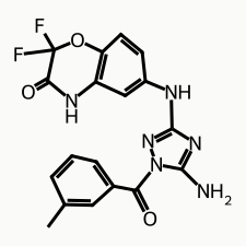 Cc1cccc(C(=O)n2nc(Nc3ccc4c(c3)NC(=O)C(F)(F)O4)nc2N)c1